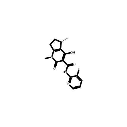 C[C@H]1CCc2c1c(O)c(C(=O)Nc1ncccc1F)c(=O)n2C